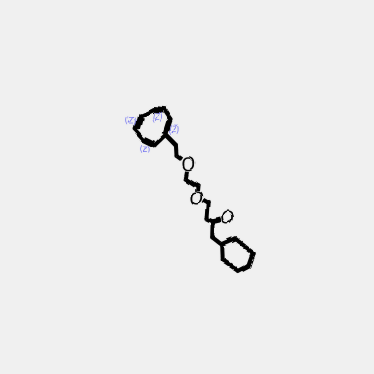 O=C(CCOCCOCCC1=C/C=C\C=C/C=C\1)CC1CCCCC1